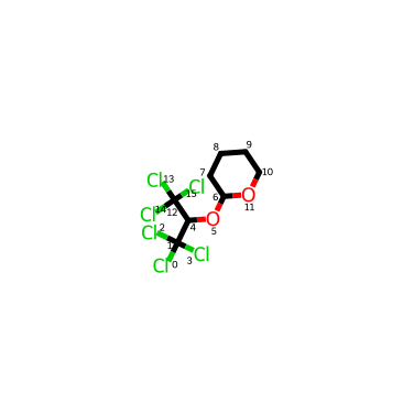 ClC(Cl)(Cl)C(OC1CCCCO1)C(Cl)(Cl)Cl